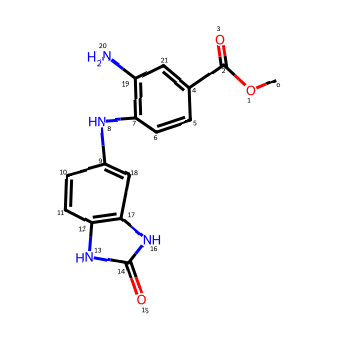 COC(=O)c1ccc(Nc2ccc3[nH]c(=O)[nH]c3c2)c(N)c1